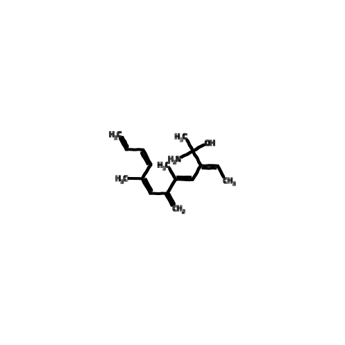 C=C/C=C\C(C)=C/C(=C)/C(C)=C/C(=C\C)C(C)(N)O